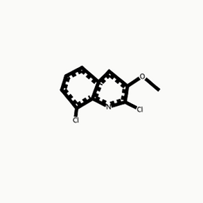 COc1cc2cccc(Cl)c2nc1Cl